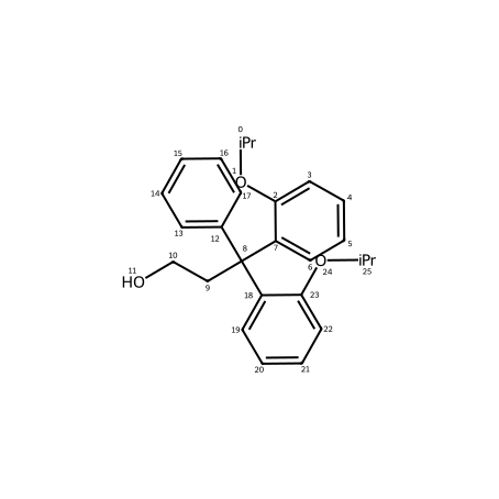 CC(C)Oc1ccccc1C(CCO)(c1ccccc1)c1ccccc1OC(C)C